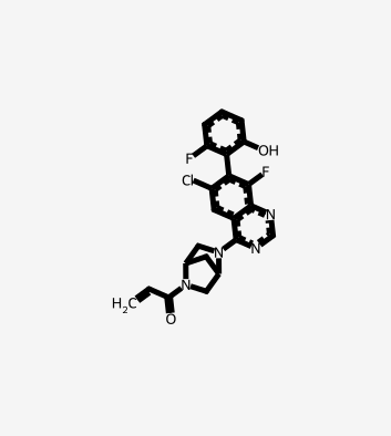 C=CC(=O)N1CC2CC1CN2c1ncnc2c(F)c(-c3c(O)cccc3F)c(Cl)cc12